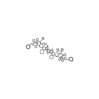 CC1=C(C#N)C(=O)N(C(=O)OCc2ccccc2)C(=O)/C1=C/C1=Cc2sc3c(sc4c5c(sc43)C=C(/C=C3/C(=O)N(C(=O)OCc4ccccc4)C(=O)C(C#N)=C3C)C53CCCCC3)c2C12CCCCC2